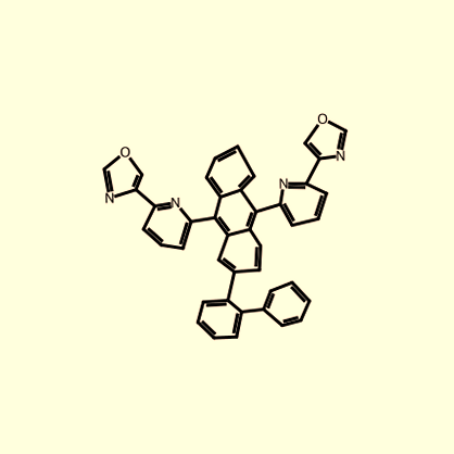 c1ccc(-c2ccccc2-c2ccc3c(-c4cccc(-c5cocn5)n4)c4ccccc4c(-c4cccc(-c5cocn5)n4)c3c2)cc1